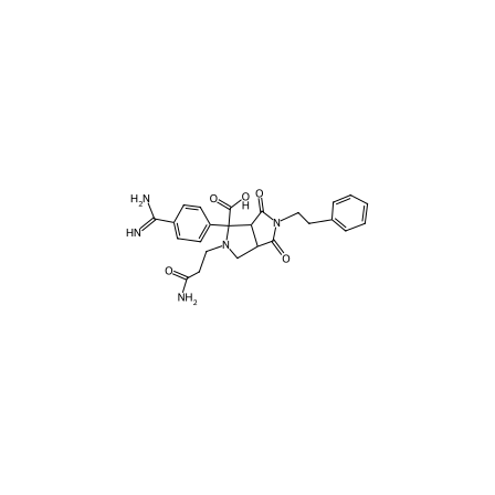 N=C(N)c1ccc(C2(C(=O)O)C3C(=O)N(CCc4ccccc4)C(=O)C3CN2CCC(N)=O)cc1